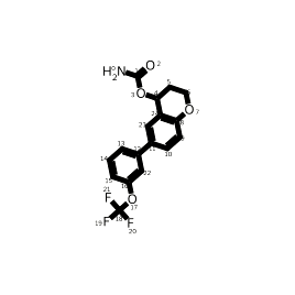 NC(=O)OC1CCOc2ccc(-c3cccc(OC(F)(F)F)c3)cc21